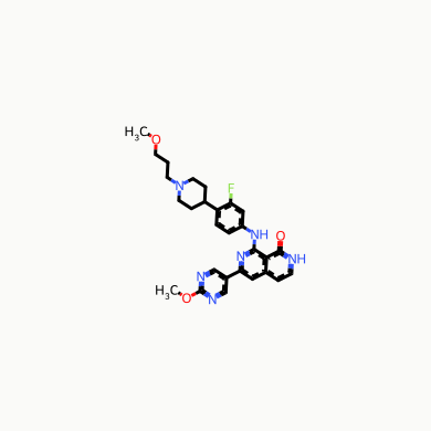 COCCCN1CCC(c2ccc(Nc3nc(-c4cnc(OC)nc4)cc4cc[nH]c(=O)c34)cc2F)CC1